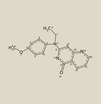 CCN(c1ccc(OC)cc1)c1nc(=O)c2cccnc2s1